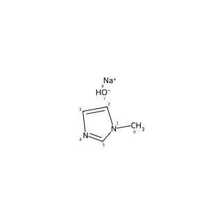 Cn1ccnc1.[Na+].[OH-]